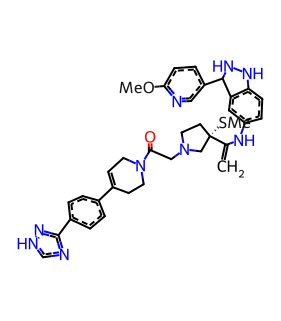 C=C(Nc1ccc2c(c1)C(c1ccc(OC)nc1)NN2)[C@]1(SC)CCN(CC(=O)N2CC=C(c3ccc(-c4nc[nH]n4)cc3)CC2)C1